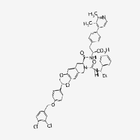 CC[C@H](NC(=O)N1Cc2cc3c(cc2C[C@H]1C(=O)N[C@@H](Cc1ccc(-c2ccnc(C)c2C)cc1)C(=O)O)OC[C@H](c1ccc(OCc2ccc(Cl)c(Cl)c2)cc1)O3)c1ccccc1